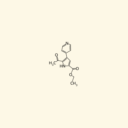 CCOC(=O)c1cc(-c2ccncc2)c(C(C)=O)[nH]1